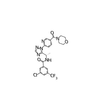 C[C@H](NC(=O)c1cc(Cl)cc(C(F)(F)F)c1)c1ncnn1-c1ccc(C(=O)N2CCOCC2)cn1